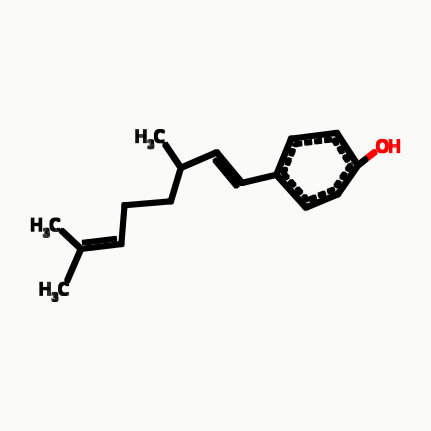 CC(C)=CCCC(C)C=Cc1ccc(O)cc1